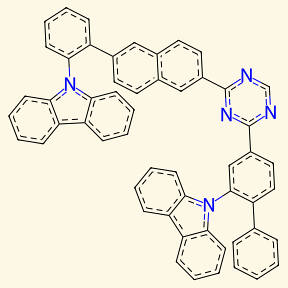 c1ccc(-c2ccc(-c3ncnc(-c4ccc5cc(-c6ccccc6-n6c7ccccc7c7ccccc76)ccc5c4)n3)cc2-n2c3ccccc3c3ccccc32)cc1